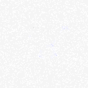 C/C=C(/C)c1ncnn1C(C)(C)N